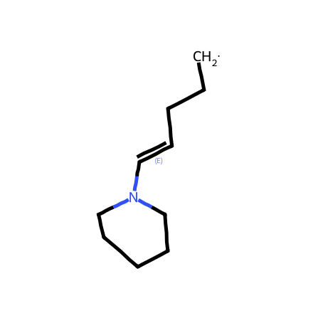 [CH2]CC/C=C/N1CCCCC1